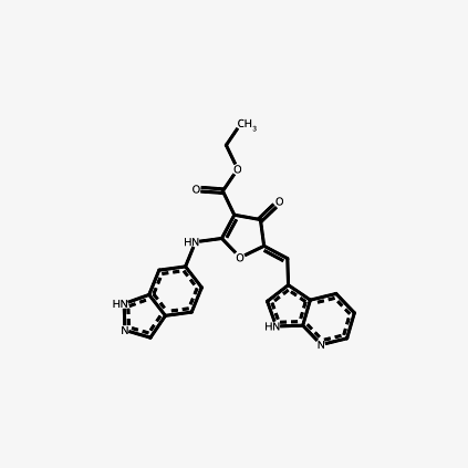 CCOC(=O)C1=C(Nc2ccc3cn[nH]c3c2)OC(=Cc2c[nH]c3ncccc23)C1=O